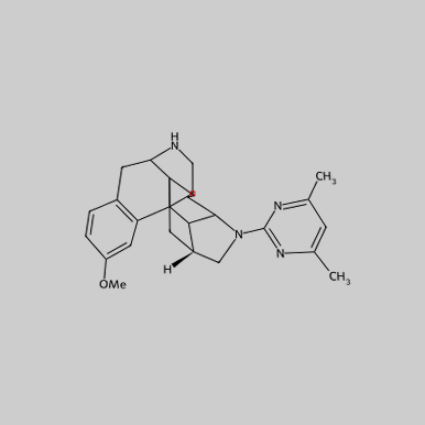 COc1ccc2c(c1)C13CCNC(C2)C12CCC1C3[C@H](CN1c1nc(C)cc(C)n1)C2